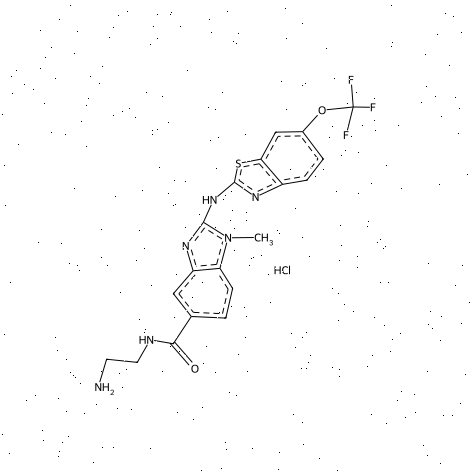 Cl.Cn1c(Nc2nc3ccc(OC(F)(F)F)cc3s2)nc2cc(C(=O)NCCN)ccc21